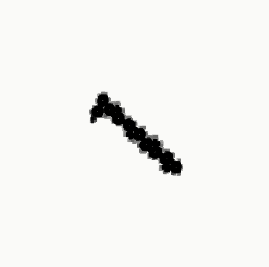 CC1(C)c2ccccc2-c2ccc(-c3ccc4c(c3)C(C)(C)c3cc(-c5ccc6c(c5)C(C)(C)c5cc(-c7ccc8c(c7)C(C)(C)c7cc(-c9ccccc9-c9ccc(F)cc9)ccc7-8)ccc5-6)ccc3-4)cc21